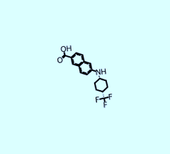 O=C(O)c1ccc2cc(N[C@H]3CC[C@@H](C(F)(F)F)CC3)ccc2c1